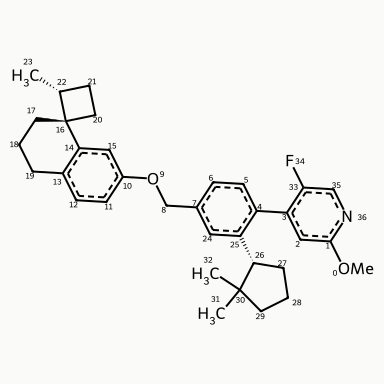 COc1cc(-c2ccc(COc3ccc4c(c3)[C@@]3(CCC4)CC[C@H]3C)cc2[C@@H]2CCCC2(C)C)c(F)cn1